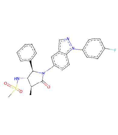 C[C@@H]1C(=O)N(c2ccc3c(cnn3-c3ccc(F)cc3)c2)[C@H](c2ccccc2)[C@H]1NS(C)(=O)=O